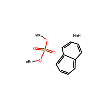 CCCCOS(=O)(=O)OCCCC.[NaH].c1ccc2ccccc2c1